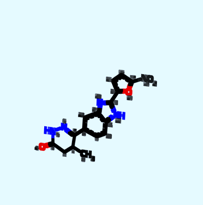 CC1CC(=O)NN=C1c1ccc2[nH]c(-c3ccc([N+](=O)[O-])o3)nc2c1